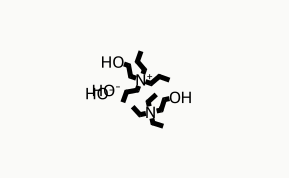 CCC[N+](CCC)(CCC)CCO.CC[N+](CC)(CC)CCO.[OH-].[OH-]